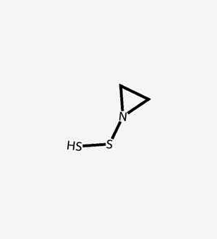 SSN1CC1